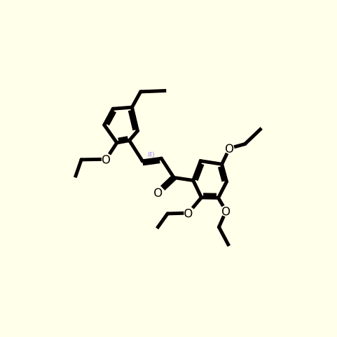 CCOc1cc(OCC)c(OCC)c(C(=O)/C=C/c2cc(CC)ccc2OCC)c1